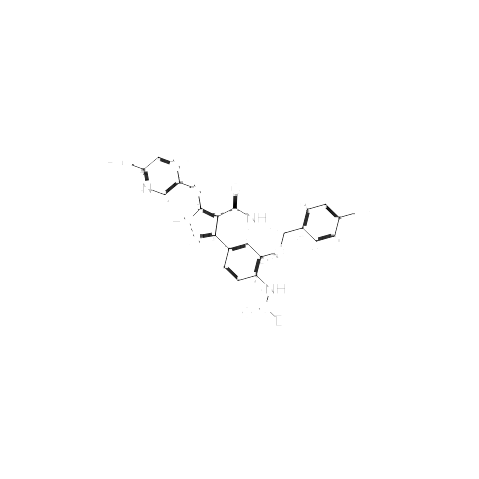 CC[S+]([O-])Nc1ccc(-c2n[nH]c(Nc3cnc(C(F)(F)F)cn3)c2C(N)=O)cc1OCc1ccc(F)cc1